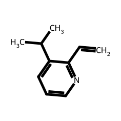 C=Cc1ncccc1C(C)C